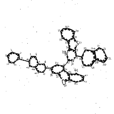 c1ccc(-c2ccc3cc(-c4cc(-c5nc(-c6ccc7ccccc7c6)c6sc7ccccc7c6n5)c5c(c4)oc4ccccc45)ccc3c2)cc1